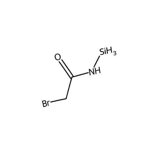 O=C(CBr)N[SiH3]